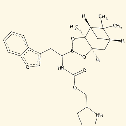 CC1(C)[C@@H]2C[C@H]3OB(C(Cc4coc5ccccc45)NC(=O)OC[C@H]4CCCN4)O[C@@]3(C)[C@H]1C2